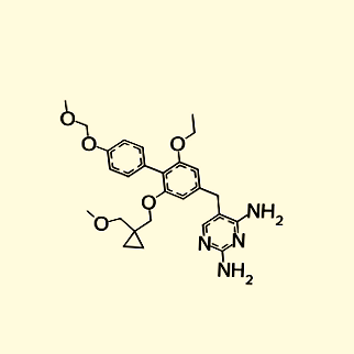 CCOc1cc(Cc2cnc(N)nc2N)cc(OCC2(COC)CC2)c1-c1ccc(OCOC)cc1